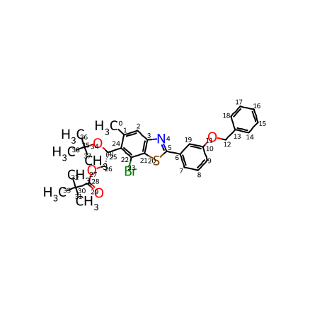 Cc1cc2nc(-c3cccc(OCc4ccccc4)c3)sc2c(Br)c1[C@H](COC(=O)C(C)(C)C)OC(C)(C)C